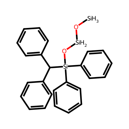 [SiH3]O[SiH2]O[Si](c1ccccc1)(c1ccccc1)C(c1ccccc1)c1ccccc1